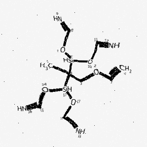 C=COCC(C)([SiH](OC=N)OC=N)[SiH](OC=N)OC=N